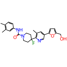 Cc1ccc(NC(=O)N2CCC(F)(c3ncc(-c4ccc(CO)o4)cc3C)CC2)cc1C